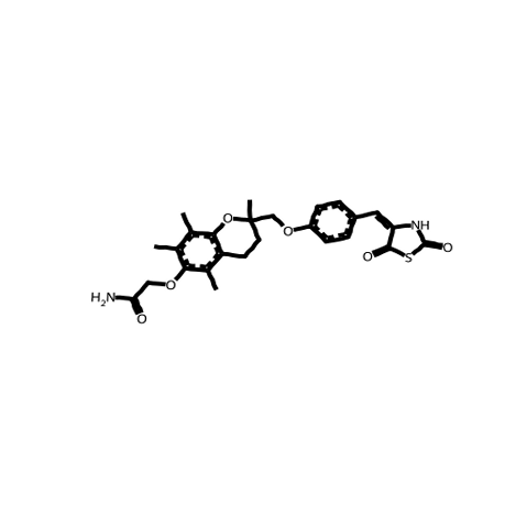 Cc1c(C)c2c(c(C)c1OCC(N)=O)CCC(C)(COc1ccc(C=C3NC(=O)SC3=O)cc1)O2